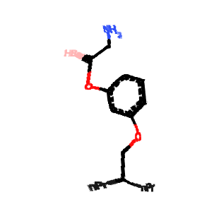 B=C(CN)Oc1cccc(OCC(CCC)CCC)c1